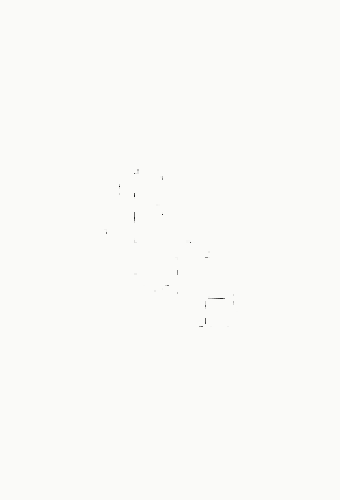 C/C=C1/CCC2C3CC=C4CC5(CC[C@]4(C)C3CC[C@]12C)OCCO5